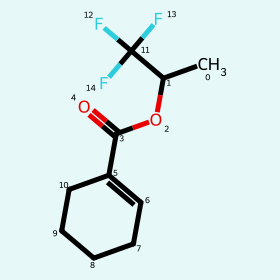 CC(OC(=O)C1=CCCCC1)C(F)(F)F